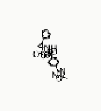 Cc1nc(-c2ccc(S(=O)(=O)N[C@]3(C(=O)O)C[C@H]3c3ccccc3)cc2)no1